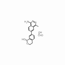 Cc1nnc(N)c2ccc(-c3ccc4c(c3)B(O)OCC4)cc12.O=CO